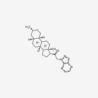 C[C@H]1CC[C@H]2[C@H](CC[C@@H]3[C@@H]2CC[C@]2(C)[C@@H](C(=O)Cn4ncc5nccnc54)CC[C@@H]32)C1